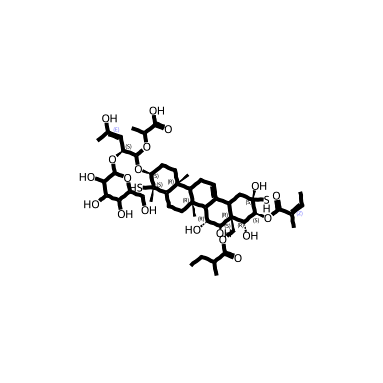 C/C=C(/C)C(=O)O[C@H]1[C@H](O)[C@@]2(COC(=O)C(C)CC)C(C[C@]1(O)S)C1=CCC3[C@@](C)(CCC4[C@]3(C)CC[C@H](OC(OC(C)C(=O)O)[C@H](/C=C(\C)O)OC3OC(CO)C(O)C(O)C3O)[C@@]4(C)S)C1[C@@H](O)[C@H]2O